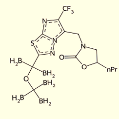 BC(B)(B)OC(B)(B)c1nn2c(CN3CC(CCC)OC3=O)c(C(F)(F)F)nc2s1